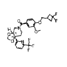 COc1cc(C(=O)N2CC[C@]3(c4cccc(C(F)(F)F)n4)OCO[C@@H]3C2)ccc1OCC1CC(F)(F)C1